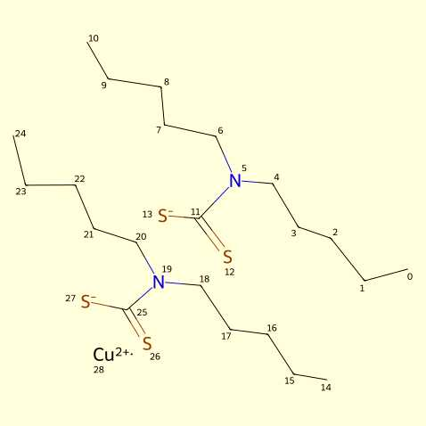 CCCCCN(CCCCC)C(=S)[S-].CCCCCN(CCCCC)C(=S)[S-].[Cu+2]